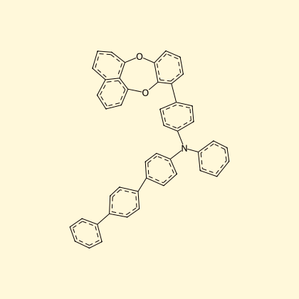 c1ccc(-c2ccc(-c3ccc(N(c4ccccc4)c4ccc(-c5cccc6c5Oc5cccc7cccc(c57)O6)cc4)cc3)cc2)cc1